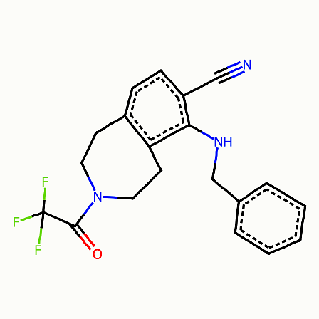 N#Cc1ccc2c(c1NCc1ccccc1)CCN(C(=O)C(F)(F)F)CC2